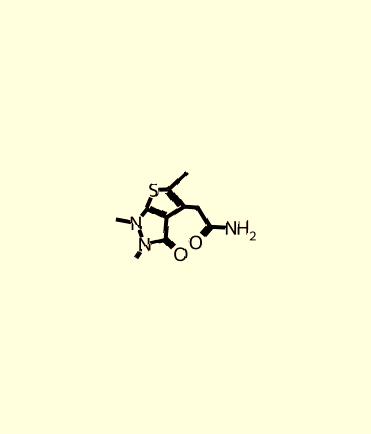 Cc1sc2c(c1CC(N)=O)c(=O)n(C)n2C